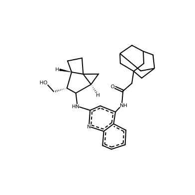 O=C(CC12CC3CC(CC(C3)C1)C2)Nc1cc(NC2[C@H](CO)[C@@H]3CCC34C[C@@H]24)nc2ccccc12